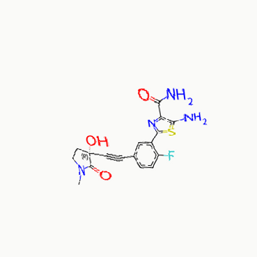 CN1CC[C@@](O)(C#Cc2ccc(F)c(-c3nc(C(N)=O)c(N)s3)c2)C1=O